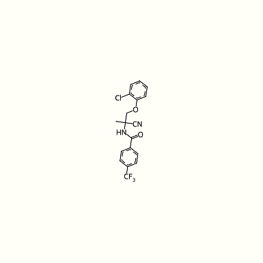 CC(C#N)(COc1ccccc1Cl)NC(=O)c1ccc(C(F)(F)F)cc1